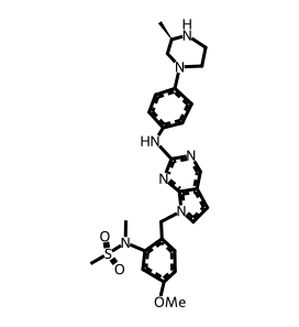 COc1ccc(Cn2ccc3cnc(Nc4ccc(N5CCN[C@H](C)C5)cc4)nc32)c(N(C)S(C)(=O)=O)c1